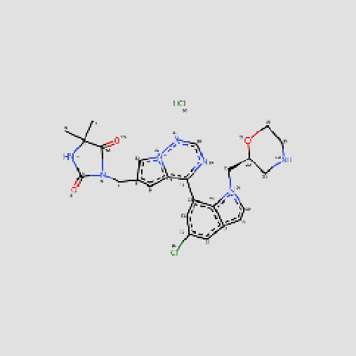 CC1(C)NC(=O)N(Cc2cc3c(-c4cc(Cl)cc5ccn(C[C@@H]6CNCCO6)c45)ncnn3c2)C1=O.Cl